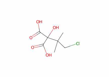 CC(C)(CCl)C(O)(C(=O)O)C(=O)O